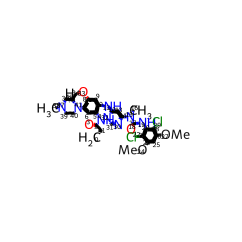 C=CC(=O)Nc1cc2c(cc1Nc1cc(N(C)C(=O)Nc3c(Cl)c(OC)cc(OC)c3Cl)ncn1)OC[C@@H]1CN(C)CCN21